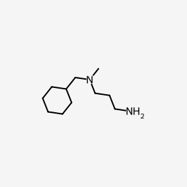 CN(CCCN)CC1CCCCC1